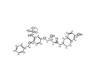 CS(=O)(=O)Nc1cc(OC[C@H](O)CNCC2CCc3cc(O)ccc3C2)ccc1OCc1ccccc1